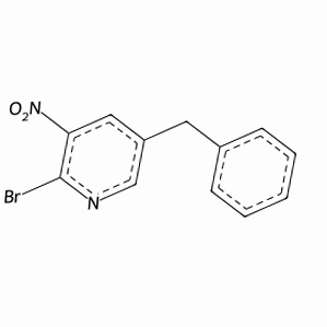 O=[N+]([O-])c1cc(Cc2ccccc2)cnc1Br